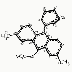 CSc1c2cc(C)ccc2[n+](-c2ccccc2)c2ccc(C)cc12